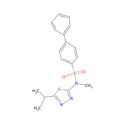 CC(C)c1nnc(N(C)S(=O)(=O)c2ccc(-c3ccccc3)cc2)s1